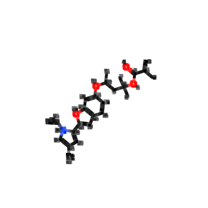 C=C(C)C(=O)OC(C)(C)CC(C)Oc1ccc2cc(-c3cc(CC)cn3CCCC)oc2c1